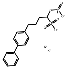 O=[PH]([O-])OC(CCCc1ccc(-c2ccccc2)cc1)S(=O)(=O)[O-].[K+].[K+]